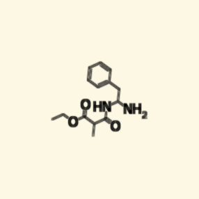 CCOC(=O)C(C)C(=O)NC(N)Cc1ccccc1